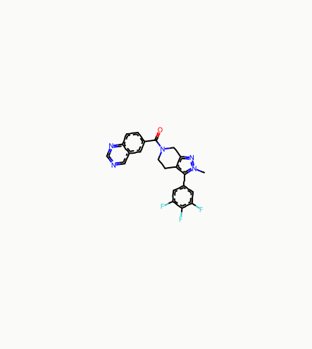 Cn1nc2c(c1-c1cc(F)c(F)c(F)c1)CCN(C(=O)c1ccc3ncncc3c1)C2